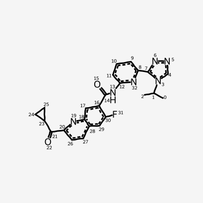 CC(C)n1cnnc1-c1cccc(NC(=O)c2cc3nc(C(=O)C4CC4)ccc3cc2F)n1